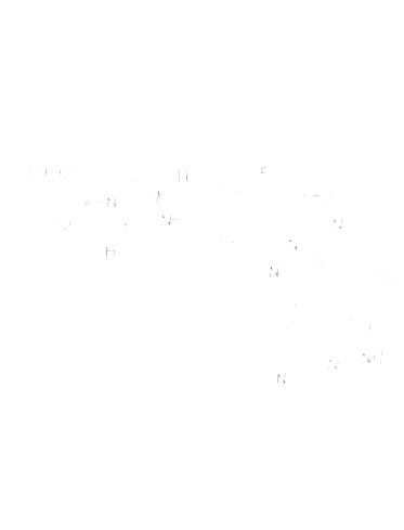 CC(C)(C)OC(=O)N1C[C@@H]2C[C@H]1CN2c1ccc(-c2ccnc3c(-c4cccc5[nH]ncc45)c(-c4ccncc4)nn23)c(F)c1